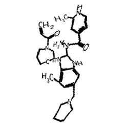 C=CC(=O)N1CCCC[C@@H](N2c3c(C)cc(CN4CCCC4)cc3NC2N(N)C(=O)C2=CCNC(C)=C2)C1